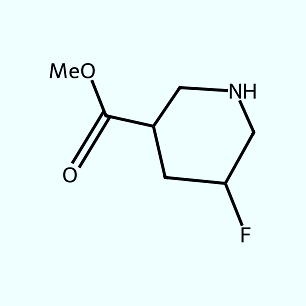 COC(=O)C1CNCC(F)C1